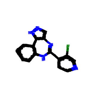 Fc1cnccc1C1=Nc2cn[nH]c2-c2ccccc2N1